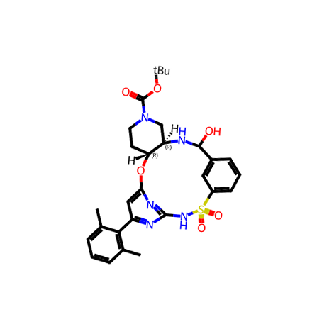 Cc1cccc(C)c1-c1cc2nc(n1)NS(=O)(=O)c1cccc(c1)C(O)N[C@@H]1CN(C(=O)OC(C)(C)C)CC[C@H]1O2